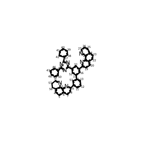 C1=Nc2c(ccc3ccc(-c4cccc(-c5cc(-c6ccc7ccc8cccnc8c7n6)cc(-c6nc(-c7ccccc7)nc(-c7ccccc7)n6)c5)c4)nc23)CC1